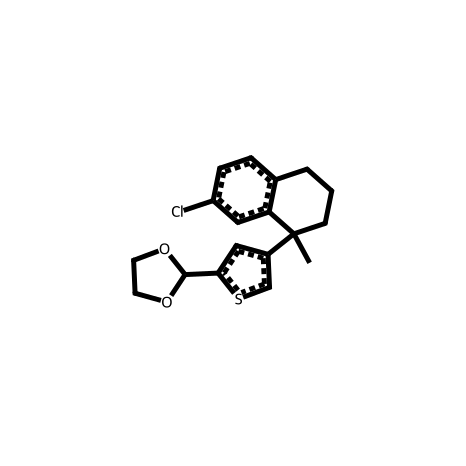 CC1(c2csc(C3OCCO3)c2)CCCc2ccc(Cl)cc21